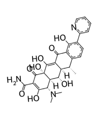 C[C@H]1c2ccc(-c3ccccn3)c(O)c2C(=O)C2=C(O)[C@]3(O)C(=O)C(C(N)=O)=C(O)[C@@H](N(C)C)[C@@H]3[C@@H](O)[C@@H]21